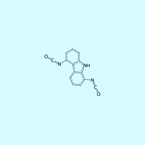 O=C=Nc1cccc2c1[nH]c1cccc(N=C=O)c12